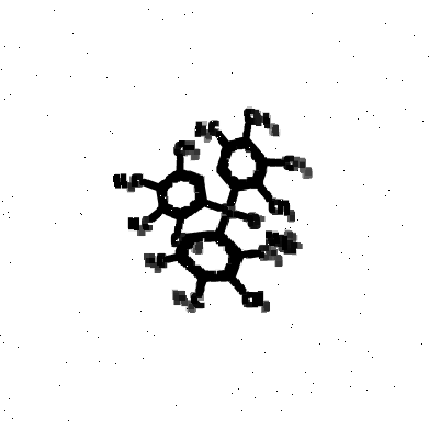 Cc1cc([Si]([O-])(c2cc(C)c(C)c(C)c2C)c2cc(C)c(C)c(C)c2C)c(C)c(C)c1C.[Br-].[Mg+2]